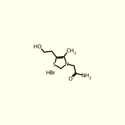 Br.CC1=C(CCO)SCN1CC(N)=O